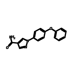 NC(=O)c1cnn(-c2ccc(Oc3ccccc3)cc2)c1